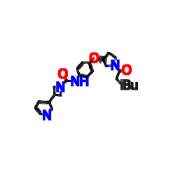 CCC(C)CC(=O)N1CC[C@@H](Oc2ccc(NC(=O)N3CC(c4cccnc4)C3)cc2)C1